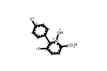 O=C(O)c1ccc(F)c(-c2ccc(F)cc2)[n+]1O